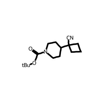 CC(C)(C)OC(=O)N1CCC(C2(C#N)CCC2)CC1